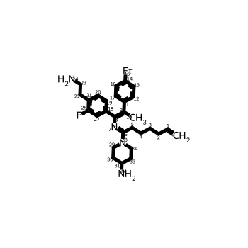 C=CCCCC/C(=N\C(=C(/C)c1ccc(CC)cc1)c1ccc(CCN)c(F)c1)N1CCC(N)CC1